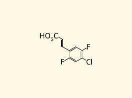 O=C(O)C=Cc1cc(F)c(Cl)cc1F